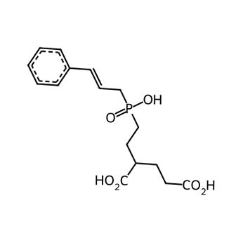 O=C(O)CCC(CCP(=O)(O)CC=Cc1ccccc1)C(=O)O